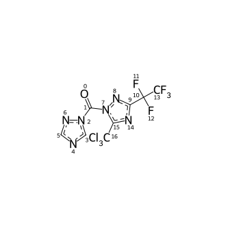 O=C(n1cncn1)n1nc(C(F)(F)C(F)(F)F)nc1C(Cl)(Cl)Cl